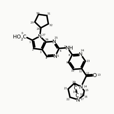 O=C(O)c1cc2cnc(Nc3ccc(C(=O)N4CCN5CCC4CC5)cn3)nc2n1C1CCCC1